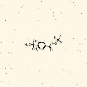 CC(C)(C)c1ccc(C(=O)OSC(F)(F)F)cc1